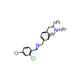 [CH2]CCC(Cc1ccc(CN=Cc2ccc(Cl)cc2Cl)cc1)N(CCC)CCC